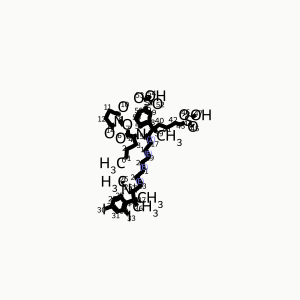 CCCCC(C(=O)ON1C(=O)CCC1=O)N1\C(=C/C=C/C=C/C=C/C2=[N+](C)c3cc(I)cc(I)c3C2(C)C)C(C)(CCCCS(=O)(=O)O)c2cc(S(=O)(=O)O)ccc21